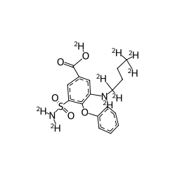 [2H]OC(=O)c1cc(N([2H])C([2H])([2H])CCC([2H])([2H])[2H])c(Oc2ccccc2)c(S(=O)(=O)N([2H])[2H])c1